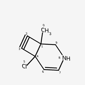 CC12C#CC1(Cl)C=CNC2